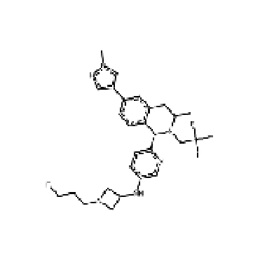 C[C@@H]1Cc2cc(-c3cnn(C)c3)ccc2[C@H](c2ccc(NC3CN(CCCF)C3)cn2)N1CC(F)(F)F